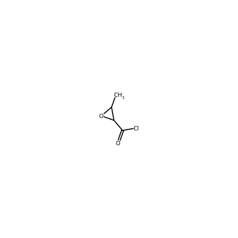 CC1OC1C(=O)Cl